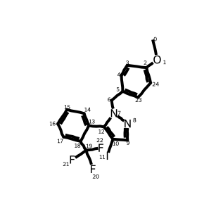 COc1ccc(Cn2ncc(I)c2-c2ccccc2C(F)(F)F)cc1